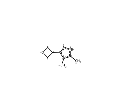 Cc1[nH]nc(C2COC2)c1C